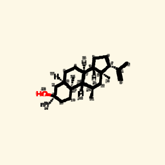 C=C(C)[C@H]1CC[C@H]2[C@@H]3CC[C@@H]4C[C@@](O)(CCC)CC[C@]4(C)[C@H]3[C@H](C)C[C@]12C